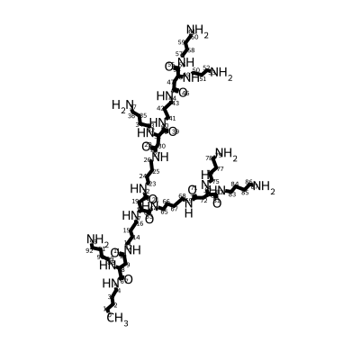 CCCCCNC(=O)C(CC(=O)NCCCCNC(CC(=O)NCCCCNC(=O)CC(NCCCCN)C(=O)NCCCNC(=O)CC(NCCCN)C(=O)NCCCCN)C(=O)NCCCCNC(=O)CC(NCCCCN)C(=O)NCCCCN)NCCCCN